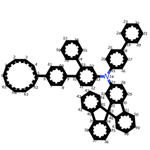 c1ccccc(-c2ccc(-c3ccc(N(c4ccc(-c5ccccc5)cc4)c4ccc5c(c4)C4(c6ccccc6-c6ccccc64)c4ccccc4-5)cc3-c3ccccc3)cc2)cccc1